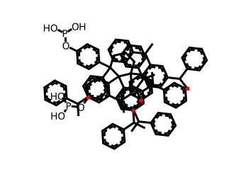 CC(c1ccccc1)c1ccc(C2(c3ccc(C(C)c4ccccc4)cc3C(C)c3ccccc3)CCCC(c3ccc(OP(O)O)cc3)(c3ccc(OP(O)O)cc3)C2(c2ccc(C(C)c3ccccc3)cc2C(C)c2ccccc2)c2ccc(C(C)c3ccccc3)cc2C(C)c2ccccc2)c(C(C)c2ccccc2)c1